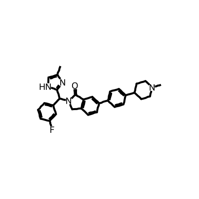 Cc1c[nH]c(C(c2cccc(F)c2)N2Cc3ccc(-c4ccc(C5CCN(C)CC5)cc4)cc3C2=O)n1